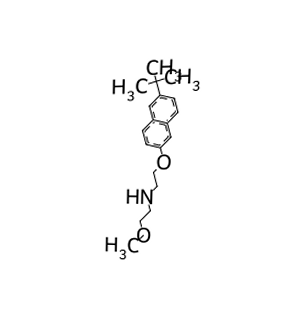 COCCNCCOc1ccc2cc(C(C)(C)C)ccc2c1